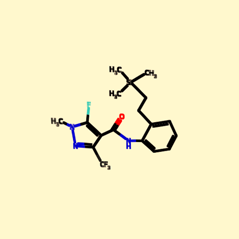 Cn1nc(C(F)(F)F)c(C(=O)Nc2ccccc2CC[Si](C)(C)C)c1F